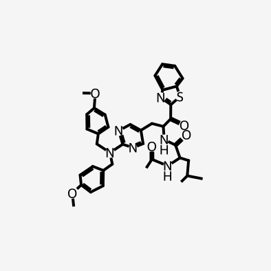 COc1ccc(CN(Cc2ccc(OC)cc2)c2ncc(CC(NC(=O)C(CC(C)C)NC(C)=O)C(=O)c3nc4ccccc4s3)cn2)cc1